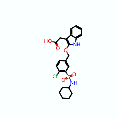 O=C(O)Cc1c(OCc2ccc(Cl)c(S(=O)(=O)NC3CCCCC3)c2)[nH]c2ccccc12